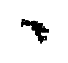 COC(=O)C(Cc1ccc(-c2ccc(F)c(Cl)c2)cc1)n1c(C(F)(F)F)nc2ccc(-c3ccc(C(F)F)cc3)cc2c1=O